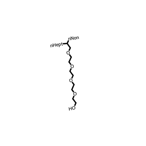 CCCCCCCCCC(CCCCCCC)COCCOCCOCCOCCO